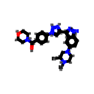 CCC1CN(c2ccc3[nH]nc(-c4cn(-c5ccc(C(=O)N6CCOCC6)cc5)nn4)c3c2)CCN1CC